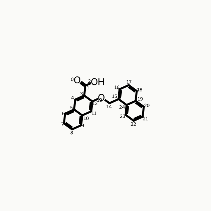 O=C(O)c1cc2ccccc2cc1OCc1cccc2ccccc12